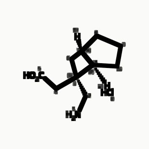 Cl.NC[C@]1(CC(=O)O)C[C@H]2CCC[C@H]21